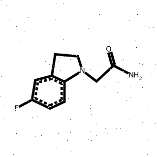 NC(=O)CN1CCc2cc(F)ccc21